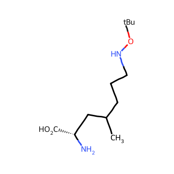 CC(CCCNOC(C)(C)C)C[C@H](N)C(=O)O